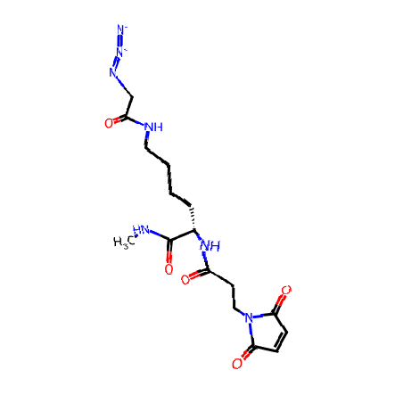 CNC(=O)[C@H](CCCCNC(=O)CN=[N+]=[N-])NC(=O)CCN1C(=O)C=CC1=O